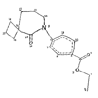 CCOC(=O)c1ccc(N2CCCC3(CCC3)C2=O)cc1